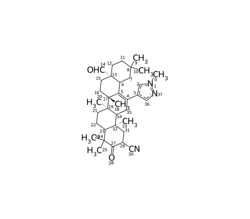 Cn1cc(C2=C3C4CC(C)(C)CC[C@]4(C=O)CC[C@@]3(C)[C@]3(C)CCC4C(C)(C)C(=O)C(C#N)C[C@]4(C)C3C2)cn1